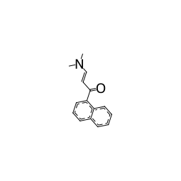 CN(C)/C=C/C(=O)c1cccc2ccccc12